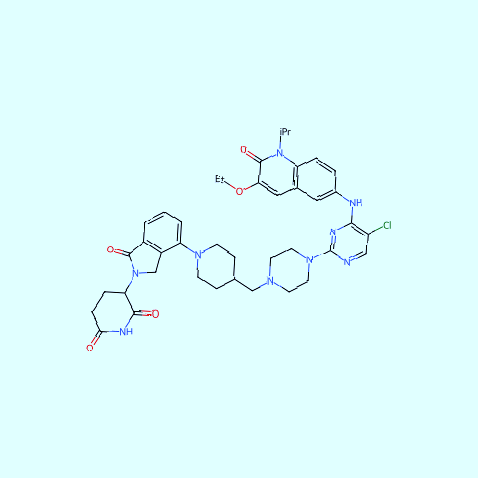 CCOc1cc2cc(Nc3nc(N4CCN(CC5CCN(c6cccc7c6CN(C6CCC(=O)NC6=O)C7=O)CC5)CC4)ncc3Cl)ccc2n(C(C)C)c1=O